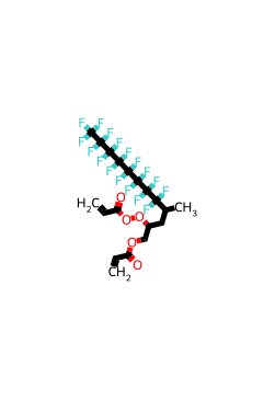 C=CC(=O)OCC(CC(C)C(F)(F)C(F)(F)C(F)(F)C(F)(F)C(F)(F)C(F)(F)C(F)(F)C(F)(F)F)OOC(=O)C=C